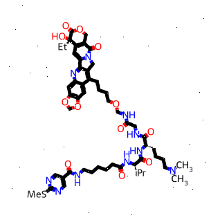 CC[C@@]1(O)C(=O)OCc2c1cc1n(c2=O)Cc2c-1nc1cc3c(cc1c2CCCCOCNC(=O)CNC(=O)[C@H](CCCCN(C)C)NC(=O)[C@@H](NC(=O)CCCCCNC(=O)c1cnc(SC)nc1)C(C)C)OCO3